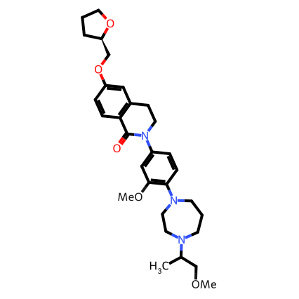 COCC(C)N1CCCN(c2ccc(N3CCc4cc(OC[C@H]5CCCO5)ccc4C3=O)cc2OC)CC1